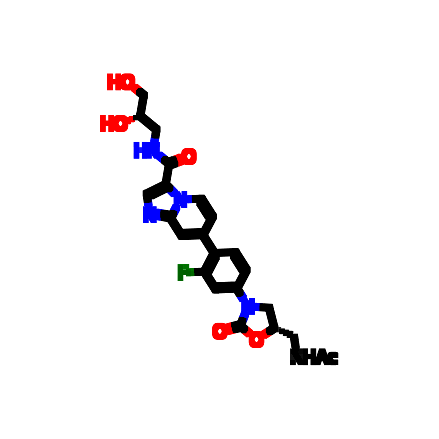 CC(=O)NC[C@H]1CN(c2ccc(-c3ccn4c(C(=O)NC[C@H](O)CO)cnc4c3)c(F)c2)C(=O)O1